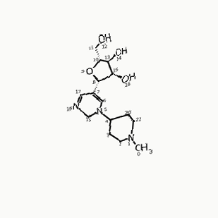 CN1CCC(N2C=C([C@@H]3O[C@H](CO)[C@@H](O)[C@H]3O)C=NC2)CC1